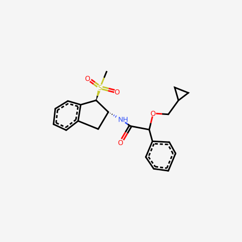 CS(=O)(=O)[C@@H]1c2ccccc2C[C@H]1NC(=O)C(OCC1CC1)c1ccccc1